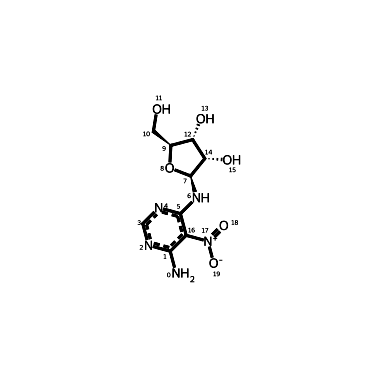 Nc1ncnc(N[C@H]2O[C@@H](CO)[C@H](O)[C@@H]2O)c1[N+](=O)[O-]